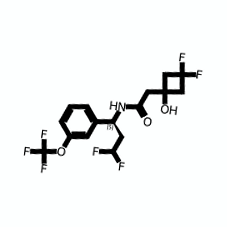 O=C(CC1(O)CC(F)(F)C1)N[C@@H](CC(F)F)c1cccc(OC(F)(F)F)c1